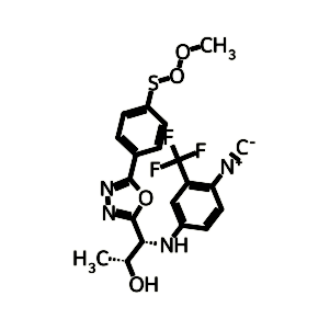 [C-]#[N+]c1ccc(N[C@@H](c2nnc(-c3ccc(SOOC)cc3)o2)[C@@H](C)O)cc1C(F)(F)F